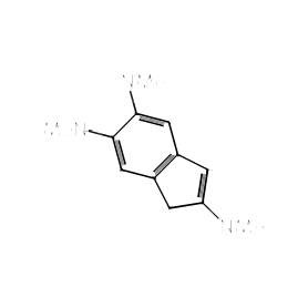 CNC1=Cc2cc(NC)c(NC)cc2[CH]1